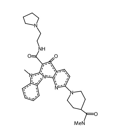 CNC(=O)C1CCN(c2ccc3c(=O)c(C(=O)NCCN4CCCC4)c4n(C)c5ccccc5n4c3n2)CC1